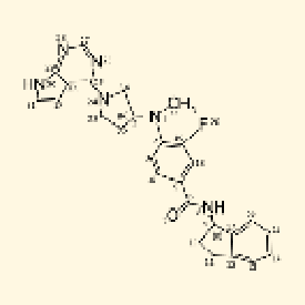 CN(c1ccc(C(=O)N[C@@H]2CCc3ccccc32)cc1F)[C@@H]1CCN(c2ncnc3[nH]ccc23)C1